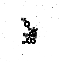 Cc1ccc(SCC(O)(CC(C)(C)c2cc(Cl)cc3c2OCC3)C(F)(F)F)cc1